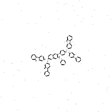 c1ccc(-n2c3cc(N(c4ccc5c(c4)oc4ccccc45)c4ccc5c(c4)oc4ccccc45)ccc3c3cc4ccc(N(c5ccc6c(c5)oc5ccccc56)c5ccc6c(c5)oc5ccccc56)cc4cc32)cc1